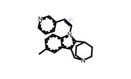 Cc1ccc2c(c1)c1c(n2/C=C\c2cccnc2)C2CCN(CC2)C1